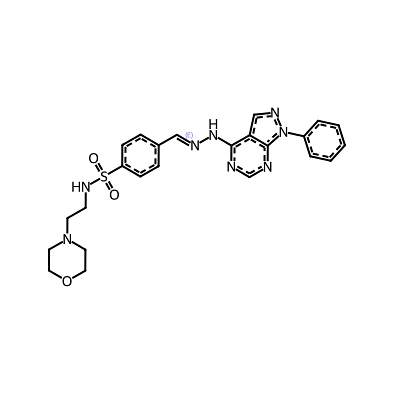 O=S(=O)(NCCN1CCOCC1)c1ccc(/C=N/Nc2ncnc3c2cnn3-c2ccccc2)cc1